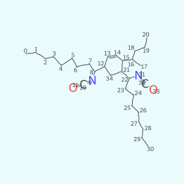 CCCCCCCCC(N=C=O)C1C=CC(C(C)CCC)C(C(CCCCCCCC)N=C=O)C1